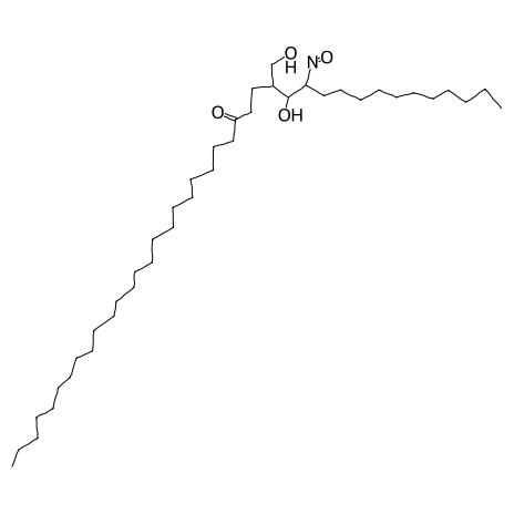 CCCCCCCCCCCCCCCCCCCCCCCC(=O)CCC(CO)C(O)C(CCCCCCCCCCC)N=O